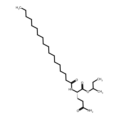 CCCCCCCCCCCCCCCCCC(=O)N[C@@H](CCC(N)=O)C(=O)OC(C)CC